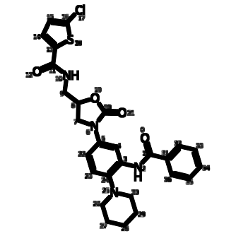 O=C(Nc1cc(N2CC(CNC(=O)c3ccc(Cl)s3)OC2=O)ccc1N1CCCCC1)c1ccccc1